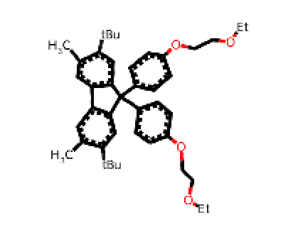 CCOCCOc1ccc(C2(c3ccc(OCCOCC)cc3)c3cc(C(C)(C)C)c(C)cc3-c3cc(C)c(C(C)(C)C)cc32)cc1